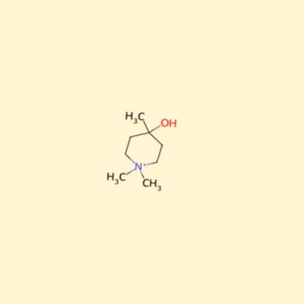 CC1(O)CC[N+](C)(C)CC1